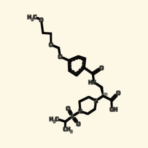 COCCOCOc1ccc(C(=O)NC[C@@H](C(=O)O)N2CCN(S(=O)(=O)C(C)C)CC2)cc1